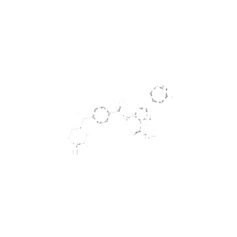 CC(c1ccc(C(=O)Nc2sc(-c3ccncc3)nc2C(N)=O)cc1)C1CCNCC1